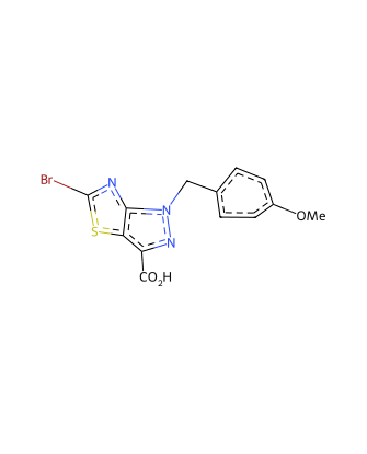 COc1ccc(Cn2nc(C(=O)O)c3sc(Br)nc32)cc1